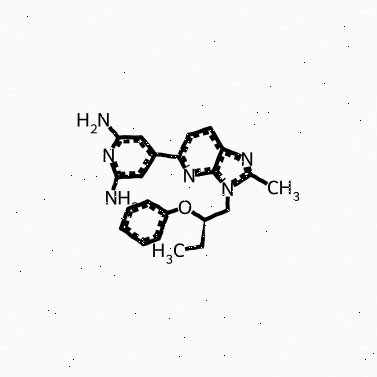 CC[C@H](Cn1c(C)nc2ccc(-c3cc(N)nc(N)c3)nc21)Oc1ccccc1